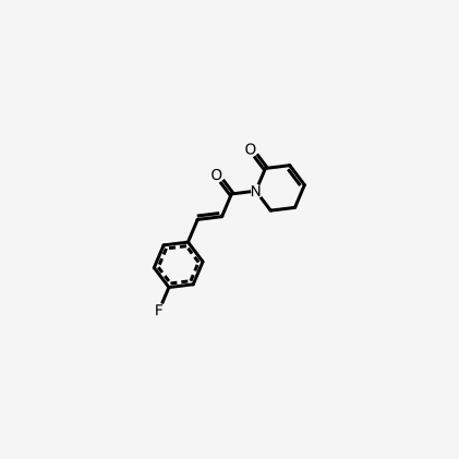 O=C1C=CCCN1C(=O)C=Cc1ccc(F)cc1